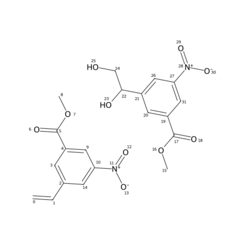 C=Cc1cc(C(=O)OC)cc([N+](=O)[O-])c1.COC(=O)c1cc(C(O)CO)cc([N+](=O)[O-])c1